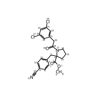 COC(=O)C1(Cc2ccc(C#N)cc2)CCCN1C(=O)Cc1cc(Cl)cc(Cl)c1